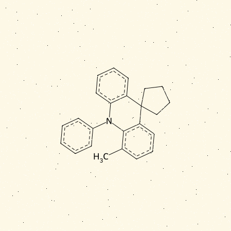 Cc1cccc2c1N(c1ccccc1)c1ccccc1C21CCCC1